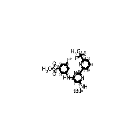 CC(C)(C)Nc1cc(Nc2cc(F)cc(S(C)(=O)=O)c2)nc(-c2cccc(C(C)(F)F)n2)n1